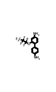 Nc1ccc(-c2ccc(N)cc2OC(F)(F)C(F)(F)C(F)(F)F)cc1